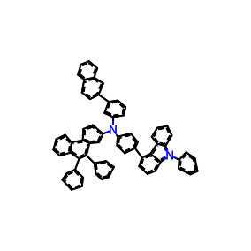 c1ccc(-c2c(-c3ccccc3)c3cc(N(c4ccc(-c5cccc6c5c5ccccc5n6-c5ccccc5)cc4)c4cccc(-c5ccc6ccccc6c5)c4)ccc3c3ccccc23)cc1